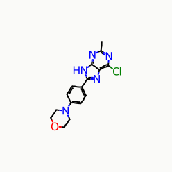 Cc1nc(Cl)c2nc(-c3ccc(N4CCOCC4)cc3)[nH]c2n1